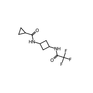 O=C(NC1CC(NC(=O)C(F)(F)F)C1)C1CC1